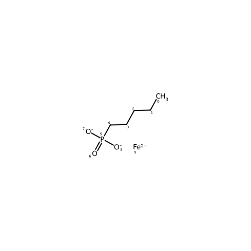 CCCCCP(=O)([O-])[O-].[Fe+2]